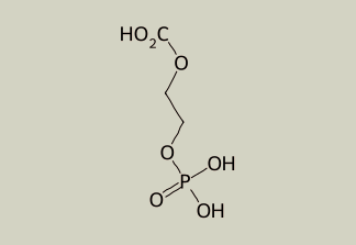 O=C(O)OCCOP(=O)(O)O